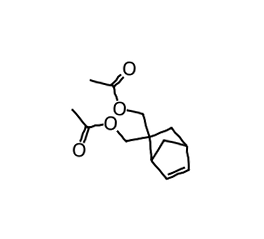 CC(=O)OCC1(COC(C)=O)CC2C=CC1C2